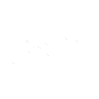 Cc1nc(N2CCCC2)ccc1-c1nc2n(n1)C(=N)N(c1cccnc1)C2